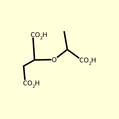 CC(OC(CC(=O)O)C(=O)O)C(=O)O